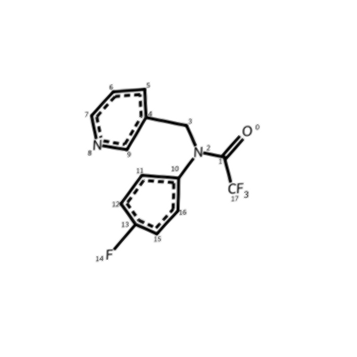 O=C(N(Cc1cccnc1)c1ccc(F)cc1)C(F)(F)F